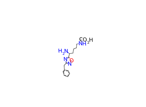 N[C@@H](CCCCNC(=O)O)c1nc(Cc2ccccc2)no1